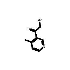 CC(=O)CC(=O)c1cnccc1C